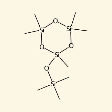 C[Si](C)(C)O[Si]1(C)O[Si](C)(C)O[Si](C)(C)O1